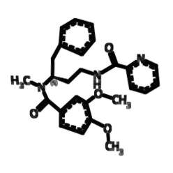 COc1ccc(C(=O)N(C)[C@H](CCNC(=O)c2ccccn2)Cc2ccccc2)cc1OC